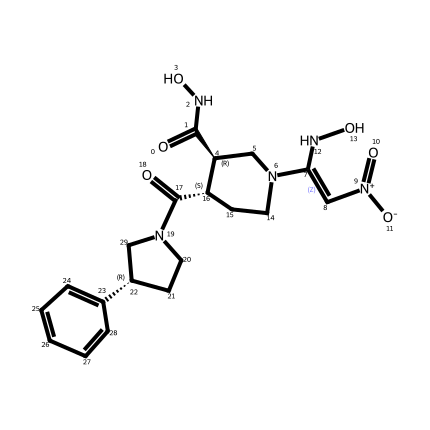 O=C(NO)[C@H]1CN(/C(=C/[N+](=O)[O-])NO)CC[C@@H]1C(=O)N1CC[C@H](c2ccccc2)C1